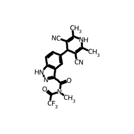 CC1=C(C#N)C(c2ccc3[nH]nc(C(=O)N(C)C(=O)C(F)(F)F)c3c2)C(C#N)=C(C)N1